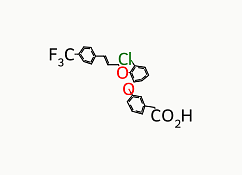 O=C(O)Cc1cccc(Oc2cccc(Cl)c2OCC=Cc2ccc(C(F)(F)F)cc2)c1